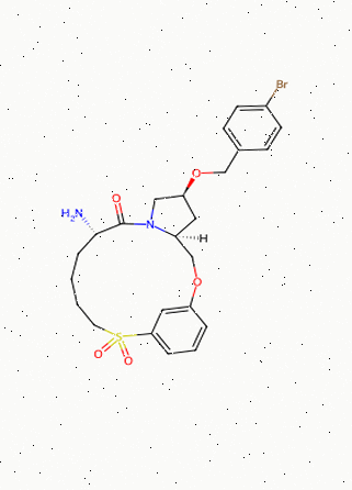 N[C@H]1CCCCS(=O)(=O)c2cccc(c2)OC[C@@H]2C[C@H](OCc3ccc(Br)cc3)CN2C1=O